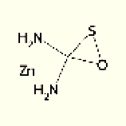 NC1(N)OS1.[Zn]